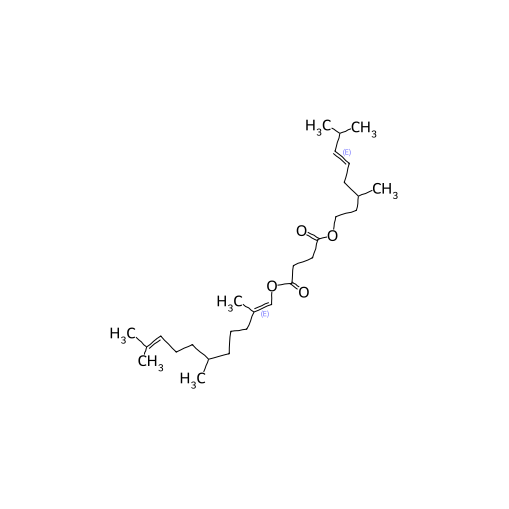 CC(C)=CCCC(C)CCC/C(C)=C/OC(=O)CCC(=O)OCCC(C)C/C=C/C(C)C